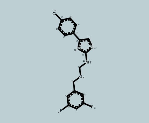 Fc1cc(F)cc(COCNc2nc(-c3ccc(Cl)cc3)cs2)c1